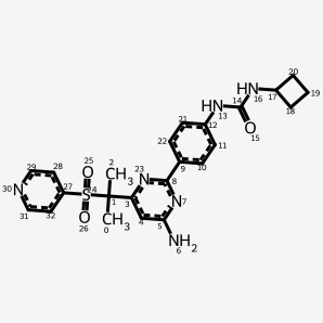 CC(C)(c1cc(N)nc(-c2ccc(NC(=O)NC3CCC3)cc2)n1)S(=O)(=O)c1ccncc1